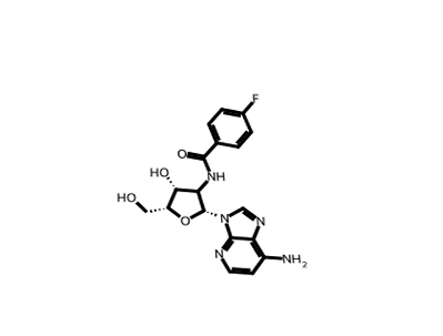 Nc1ccnc2c1ncn2[C@@H]1O[C@H](CO)[C@H](O)C1NC(=O)c1ccc(F)cc1